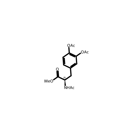 COC(=O)[C@@H](Cc1ccc(OC(C)=O)c(OC(C)=O)c1)NC(C)=O